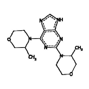 CC1COCCN1c1nc(N2CCOCC2C)c2nc[nH]c2n1